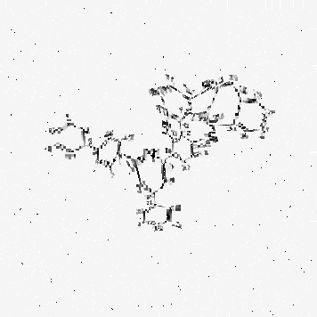 c1ccc(-c2ccc(-c3cc(-c4ccccc4)cc(-c4ccc5sc6c7ccccc7cc7sc8ccc9sc4c5c9c8c76)n3)cc2)cc1